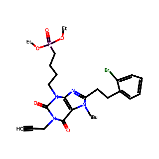 C#CCn1c(=O)c2c(nc(CCc3ccccc3Br)n2C(C)CC)n(CCCCP(=O)(OCC)OCC)c1=O